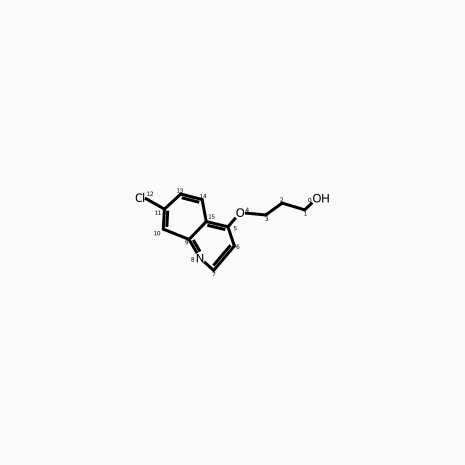 OCCCOc1ccnc2cc(Cl)ccc12